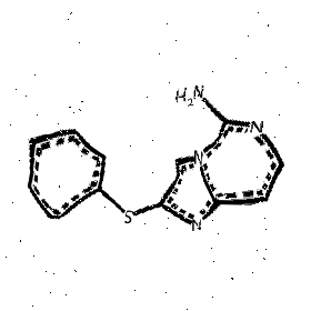 Nc1nccc2nc(Sc3ccccc3)cn12